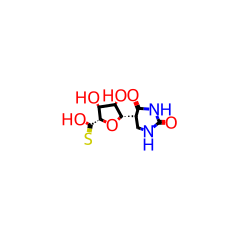 O=C1NCC([C@@H]2O[C@H](C(O)=S)[C@@H](O)[C@H]2O)C(=O)N1